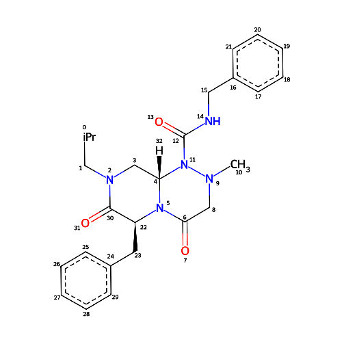 CC(C)CN1C[C@H]2N(C(=O)CN(C)N2C(=O)NCc2ccccc2)[C@@H](Cc2ccccc2)C1=O